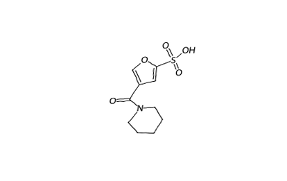 O=C(c1coc(S(=O)(=O)O)c1)N1CCCCC1